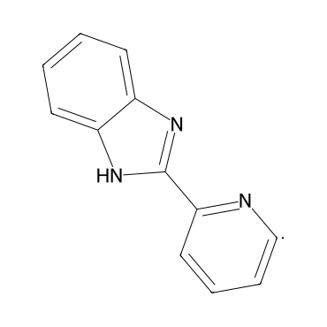 [c]1cccc(-c2nc3ccccc3[nH]2)n1